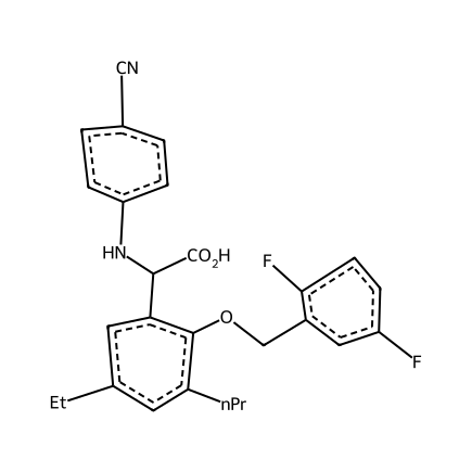 CCCc1cc(CC)cc(C(Nc2ccc(C#N)cc2)C(=O)O)c1OCc1cc(F)ccc1F